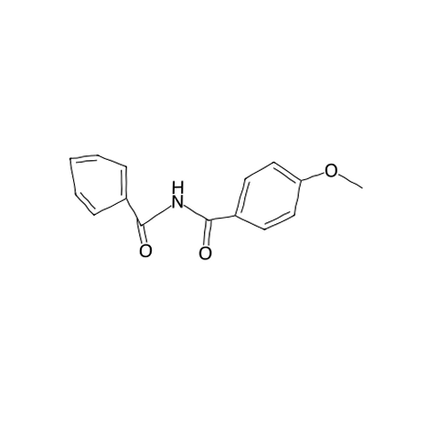 COc1ccc(C(=O)NC(=O)c2ccccc2)cc1